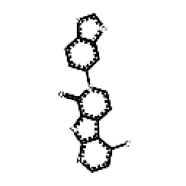 O=c1c2sc3nccc(Cl)c3c2ccn1-c1ccc2scnc2c1